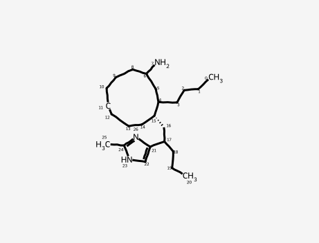 CCCCC1CC(N)CCCCCCC[C@H]1CC(CCC)c1c[nH]c(C)n1